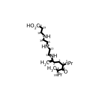 C=C(CCC(CCC)C(=O)C(C)C(C)C)NCCNCCNCCC(=O)O